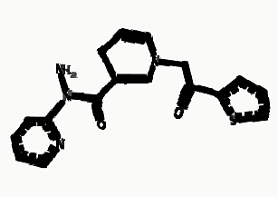 NN(C(=O)C1=CN(CC(=O)c2cccs2)C=CC1)c1ccccn1